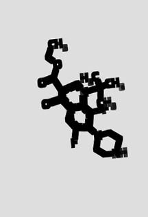 CCOC(=O)c1cn(C(C)(C)C)c2c(F)c(N3CCNCC3)c(F)cc2c1=O